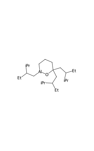 CCC([CH2][Al]1[CH2]CCC(CC(CC)C(C)C)(CC(CC)C(C)C)[O]1)C(C)C